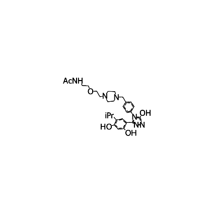 CC(=O)NCCOCCN1CCN(Cc2ccc(-n3c(O)nnc3-c3cc(C(C)C)c(O)cc3O)cc2)CC1